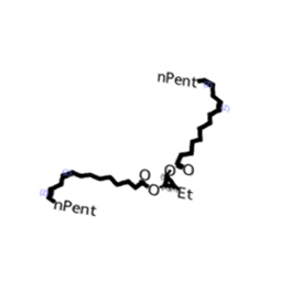 CCCCC/C=C\C/C=C\CCCCCCCC(=O)O[C@@H]1[C@H](CC)[C@@H]1OC(=O)CCCCCCC/C=C\C/C=C\CCCCC